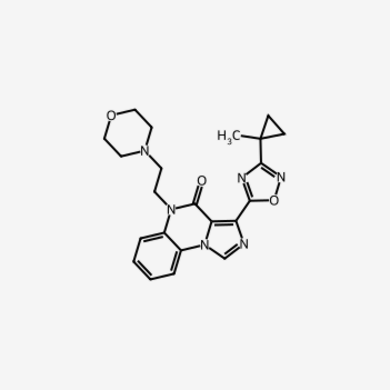 CC1(c2noc(-c3ncn4c3c(=O)n(CCN3CCOCC3)c3ccccc34)n2)CC1